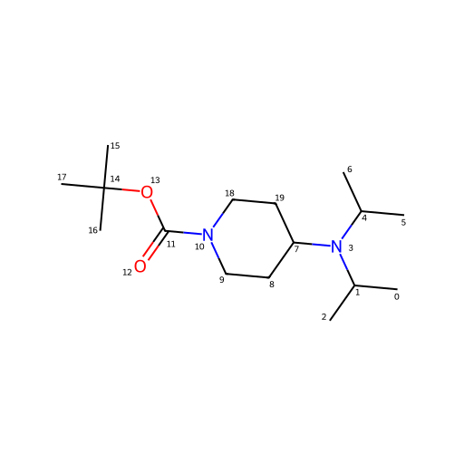 CC(C)N(C(C)C)C1CCN(C(=O)OC(C)(C)C)CC1